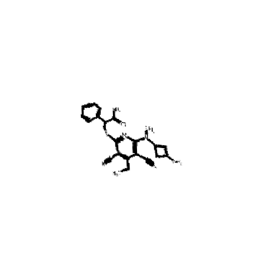 CCc1c(C#N)c(SC(C(N)=O)c2ccccc2)nc(N(C)C2CC(N)C2)c1C#N